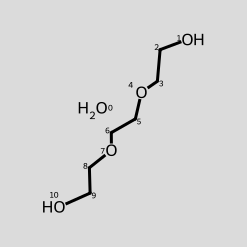 O.OCCOCCOCCO